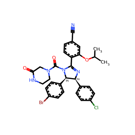 CC(C)Oc1cc(C#N)ccc1C1=N[C@@H](c2ccc(Cl)cc2)[C@@H](c2ccc(Br)cc2)N1C(=O)N1CCNC(=O)C1